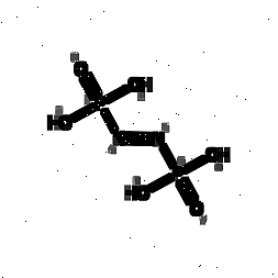 O=P(O)(O)N=NP(=O)(O)O